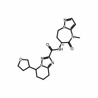 CN1C(=O)[C@@H](NC(=O)c2nc3n(n2)C(C2CCOC2)CCC3)CCn2nccc21